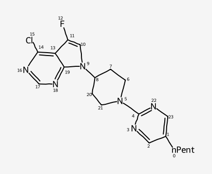 CCCCCc1cnc(N2CCC(n3cc(F)c4c(Cl)ncnc43)CC2)nc1